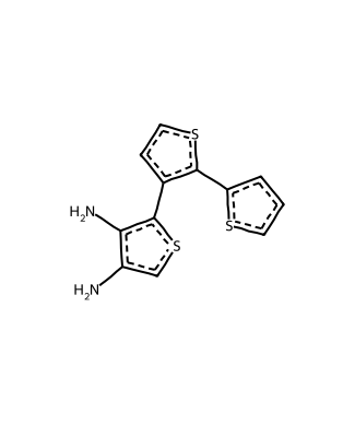 Nc1csc(-c2ccsc2-c2cccs2)c1N